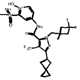 CC1(Cn2nc(C3CC4(CC4)C3)c(C(F)(F)F)c2C(=O)Nc2cc[n+](O)c(S(C)(=N)=O)c2)CC(F)(F)C1